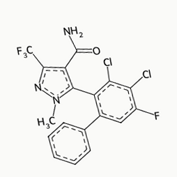 Cn1nc(C(F)(F)F)c(C(N)=O)c1-c1c(-c2ccccc2)cc(F)c(Cl)c1Cl